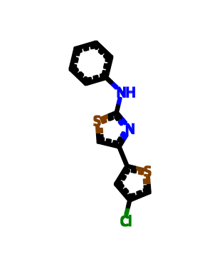 Clc1csc(-c2csc(Nc3ccccc3)n2)c1